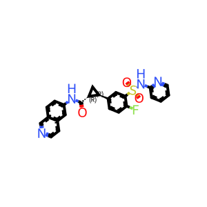 O=C(Nc1ccc2cnccc2c1)[C@@H]1C[C@H]1c1ccc(F)c(S(=O)(=O)Nc2ccccn2)c1